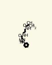 C=C(C)C(=O)NCCCNC(=O)c1nnn(-c2ccccc2)n1